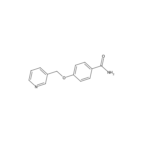 NC(=O)c1ccc(OCc2cccnc2)cc1